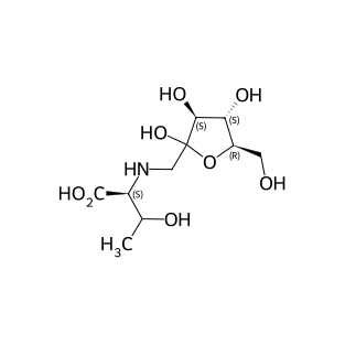 CC(O)[C@H](NCC1(O)O[C@H](CO)[C@@H](O)[C@@H]1O)C(=O)O